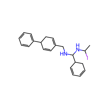 CC(I)NC(NCC1=CCC(c2ccccc2)C=C1)C1C=CC=CC1